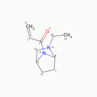 C=CC(=O)N1C2CCC1N(CC)C2